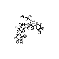 CC(C)OC(=O)[C@H](C)NP(=O)(OC[C@H]1O[C@@H](n2ccc(=O)[nH]c2=O)[C@](C)(C#N)[C@@H]1O)Oc1ccc(Cl)c(Cl)c1